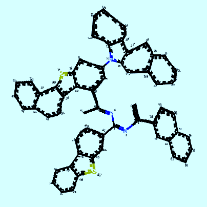 C=C(/N=C(\N=C(/C)c1cc(-n2c3ccccc3c3cc4ccccc4cc32)cc2sc3c4ccccc4ccc3c12)c1ccc2c(c1)sc1ccccc12)c1ccc2ccccc2c1